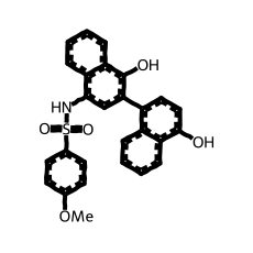 COc1ccc(S(=O)(=O)Nc2cc(-c3ccc(O)c4ccccc34)c(O)c3ccccc23)cc1